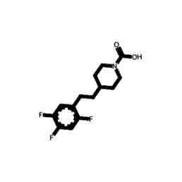 O=C(O)N1CCC(CCc2cc(F)c(F)cc2F)CC1